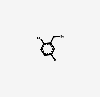 CCC(C)Cc1cc(Br)ccc1C